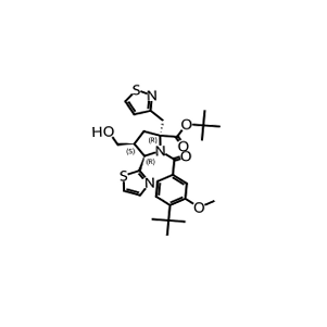 COc1cc(C(=O)N2[C@@H](c3nccs3)[C@@H](CO)C[C@@]2(Cc2ccsn2)C(=O)OC(C)(C)C)ccc1C(C)(C)C